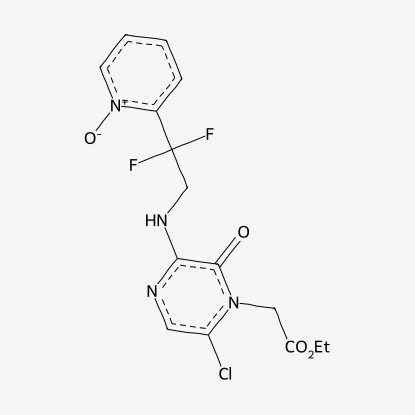 CCOC(=O)Cn1c(Cl)cnc(NCC(F)(F)c2cccc[n+]2[O-])c1=O